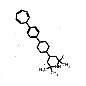 CC1(C)CC(C2CCC(c3ccc(C4C=CC=CC=C4)cc3)CC2)CC(C)(C)N1